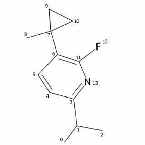 CC(C)c1ccc(C2(C)CC2)c(F)n1